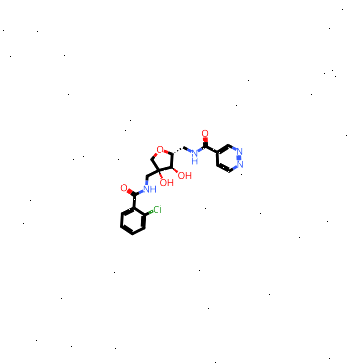 O=C(NC[C@H]1OC[C@@](O)(CNC(=O)c2ccccc2Cl)[C@@H]1O)c1ccnnc1